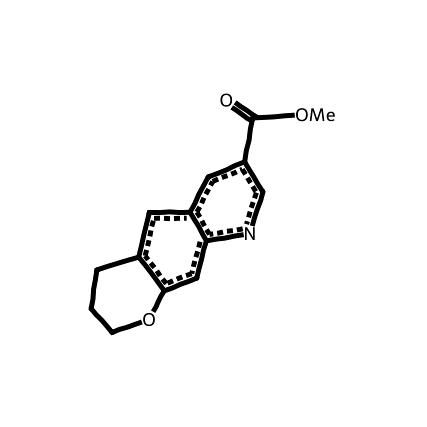 COC(=O)c1cnc2cc3c(cc2c1)CCCO3